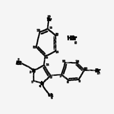 Br.CCN1CN(CC)C(c2ccc(Br)cc2)=C1c1ccc(Br)cc1